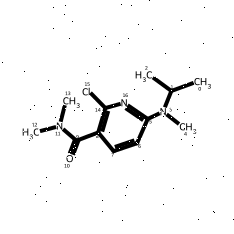 CC(C)N(C)c1ccc(C(=O)N(C)C)c(Cl)n1